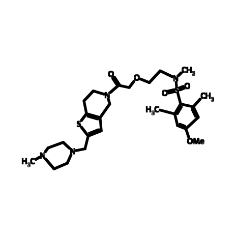 COc1cc(C)c(S(=O)(=O)N(C)CCOCC(=O)N2CCc3sc(CN4CCN(C)CC4)cc3C2)c(C)c1